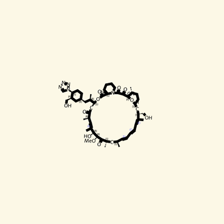 CO[C@H]1C(=O)[C@@H](C)C[C@H](C)/C=C/C=C/C=C(\C)[C@@H](CO)C[C@@H]2CC[C@@H](C)[C@@](O)(O2)C(=O)C(=O)N2CCCC[C@H]2C(=O)O[C@H]([C@H](C)C[C@@H]2CC[C@H](n3cnnn3)[C@H](CO)C2)CC(=O)[C@H](C)/C=C(\C)[C@H]1O